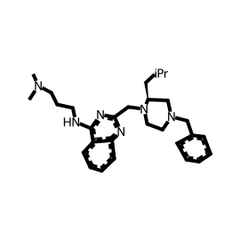 CC(C)C[C@H]1CN(Cc2ccccc2)CCN1Cc1nc(NCCCN(C)C)c2ccccc2n1